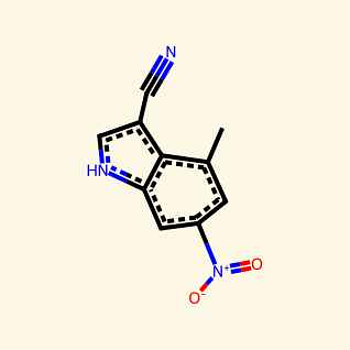 Cc1cc([N+](=O)[O-])cc2[nH]cc(C#N)c12